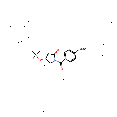 COc1ccc(C(=O)N2C[C@@H](O[Si](C)(C)C)CC2=O)cc1